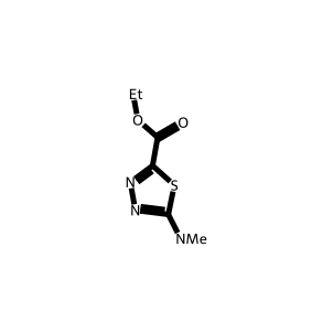 CCOC(=O)c1nnc(NC)s1